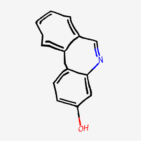 Oc1ccc2c(c1)ncc1ccccc12